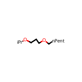 CCCCCCOCC[CH]OC(C)C